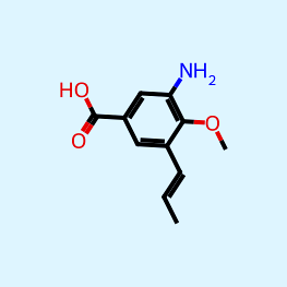 CC=Cc1cc(C(=O)O)cc(N)c1OC